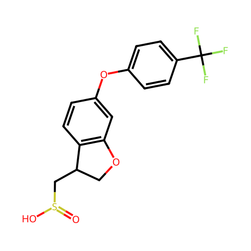 O=S(O)CC1COc2cc(Oc3ccc(C(F)(F)F)cc3)ccc21